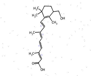 CC1=C(/C=C/C(C)=C/C=C/C(C)=C/C(=O)O)C(C)(C)CCC1CO